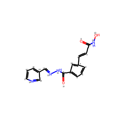 O=C(/C=C/c1cccc(C(=O)N/N=C/c2cccnc2)c1)NO